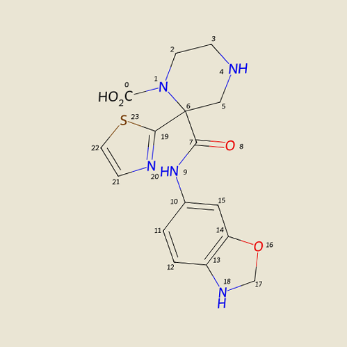 O=C(O)N1CCNCC1(C(=O)Nc1ccc2c(c1)OCN2)c1nccs1